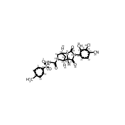 Cc1ccc(S(=O)(=O)NC(=O)N2C[C@@H]3C[C@H]2[C@H]2C(=O)N(c4ccc(C#N)c(Cl)c4C)C(=O)N32)cc1